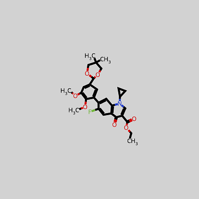 CCOC(=O)c1cn(C2CC2)c2cc(-c3cc(C4OCC(C)(C)CO4)cc(OC)c3OC)c(F)cc2c1=O